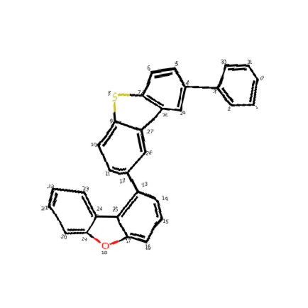 c1ccc(-c2ccc3sc4ccc(-c5cccc6oc7ccccc7c56)cc4c3c2)cc1